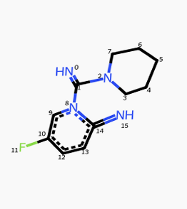 N=C(N1CCCCC1)n1cc(F)ccc1=N